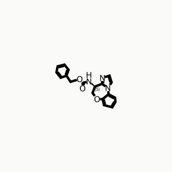 O=C(N[C@@H]1COc2ccccc2-n2ccnc21)OCc1ccccc1